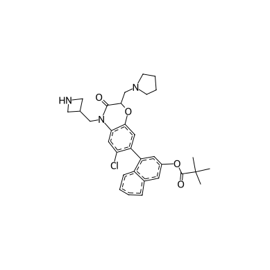 CC(C)(C)C(=O)Oc1cc(-c2cc3c(cc2Cl)N(CC2CNC2)C(=O)C(CN2CCCC2)O3)c2ccccc2c1